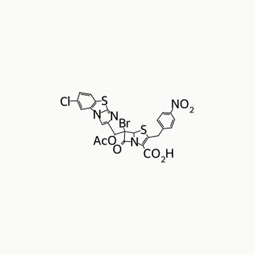 CC(=O)OC(c1cn2c(n1)sc1ccc(Cl)cc12)C1(Br)C(=O)N2C(C(=O)O)=C(Cc3ccc([N+](=O)[O-])cc3)SC21